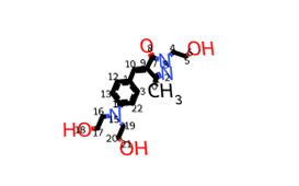 CC1=NN(CCO)C(=O)/C1=C/c1ccc(N(CCO)CCO)cc1